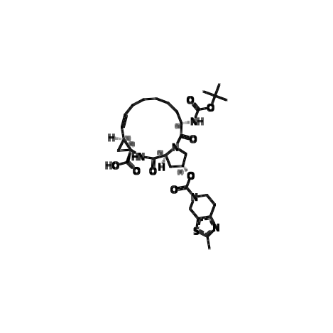 Cc1nc2c(s1)CN(C(=O)O[C@@H]1C[C@H]3C(=O)N[C@]4(C(=O)O)C[C@H]4C=CCCCCC[C@H](NC(=O)OC(C)(C)C)C(=O)N3C1)CC2